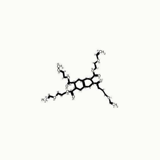 C=COCCCC(=O)C1CC2=C(CC1C(=O)OCCOC=C)CC(C(=O)OCCOC)C(C(=O)OCCOC=C)C2